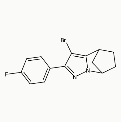 Fc1ccc(-c2nn3c(c2Br)C2CCC3C2)cc1